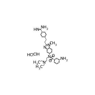 CCN(CC)CCN(c1ccc2c(c1)nc(CCc1ccc(C(=N)N)cc1)n2C)S(=O)(=O)c1cccc(N)c1.Cl.Cl